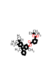 CCC(C)(C)OC(=O)c1cccc(C(=O)Oc2ccc(C(C)(c3ccccc3)c3ccc(C(C)(C)CC)c(C)c3)cc2C)c1